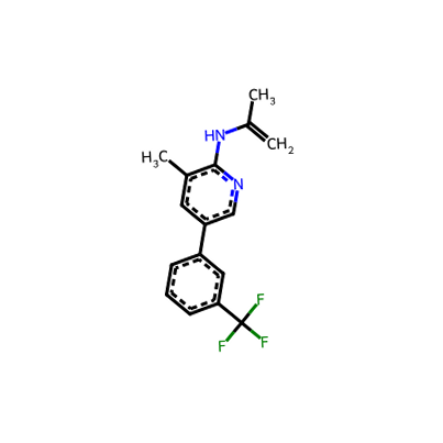 C=C(C)Nc1ncc(-c2cccc(C(F)(F)F)c2)cc1C